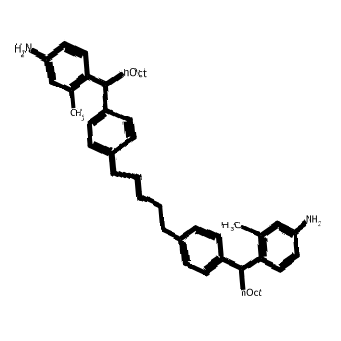 CCCCCCCCC(c1ccc(CCCCCc2ccc(C(CCCCCCCC)c3ccc(N)cc3C)cc2)cc1)c1ccc(N)cc1C